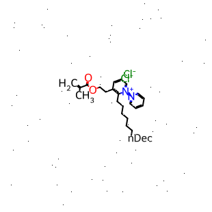 C=C(C)C(=O)OCCc1ccc[n+](-[n+]2ccccc2)c1CCCCCCCCCCCCCCCC.[Cl-].[Cl-]